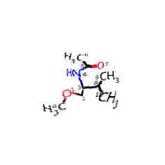 COC[C@@H](NC(C)=O)C(C)C